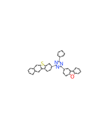 c1ccc(-c2nc(-c3ccc4c(c3)sc3cc5ccccc5cc34)nc(-c3ccc4oc5ccccc5c4c3)n2)cc1